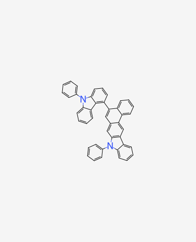 c1ccc(-n2c3ccccc3c3cc4c(cc(-c5cccc6c5c5ccccc5n6-c5ccccc5)c5ccccc54)cc32)cc1